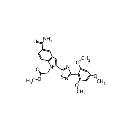 COC(=O)Cn1c(-c2nc(-c3c(OC)cc(OC)cc3OC)ns2)cc2cc(C(N)=O)ccc21